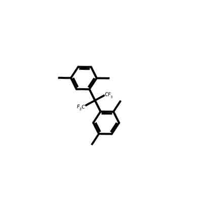 Cc1ccc(C)c(C(c2cc(C)ccc2C)(C(F)(F)F)C(F)(F)F)c1